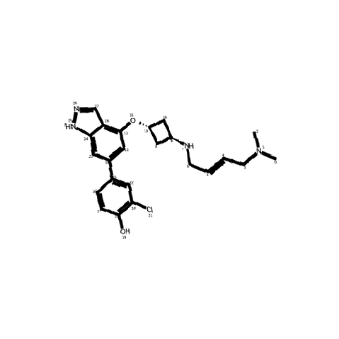 CN(C)C/C=C/CN[C@H]1C[C@H](Oc2cc(-c3ccc(O)c(Cl)c3)cc3[nH]ncc23)C1